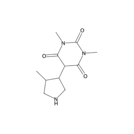 CC1CNCC1C1C(=O)N(C)C(=O)N(C)C1=O